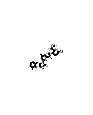 Cc1cc([C@@H](C)Nc2ccc(Cl)nc2C(=O)O)nc(N2C(=O)OC[C@@H]2Cc2cccc(C)c2F)c1